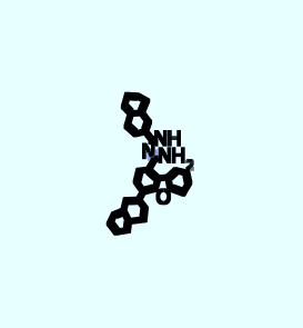 N=C(/N=C(\N)c1ccc(-c2ccc3ccccc3c2)c2oc3ccccc3c12)c1ccc2ccccc2c1